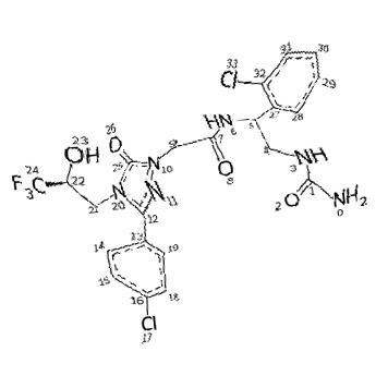 NC(=O)NCC(NC(=O)Cn1nc(-c2ccc(Cl)cc2)n(C[C@H](O)C(F)(F)F)c1=O)c1ccccc1Cl